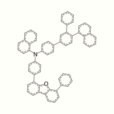 c1ccc(-c2cc(-c3ccc(N(c4ccc(-c5cccc6c5oc5c(-c7ccccc7)cccc56)cc4)c4cccc5ccccc45)cc3)ccc2-c2cccc3ccccc23)cc1